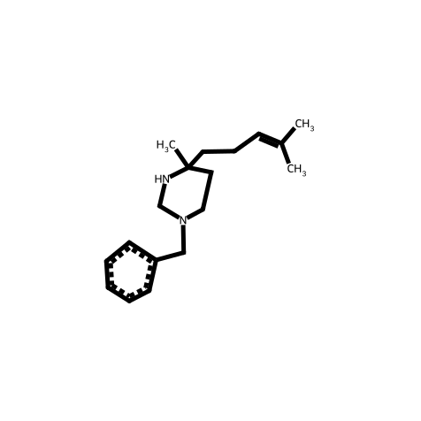 CC(C)=CCCC1(C)CCN(Cc2ccccc2)CN1